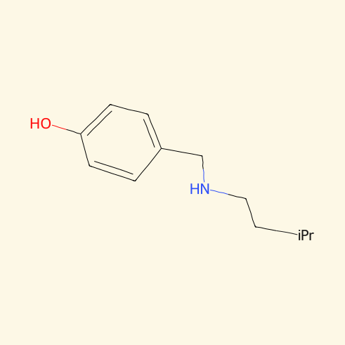 CC(C)CCNCc1ccc(O)cc1